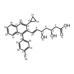 O=C(O)C[C@@H](O)C[C@@H](O)C=Cc1c(C2CC2)nc2ccccc2c1-c1ccc(F)cc1